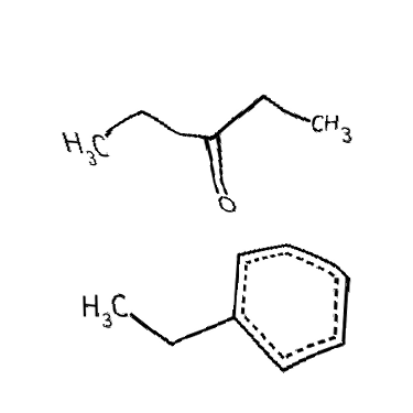 CCC(=O)CC.CCc1ccccc1